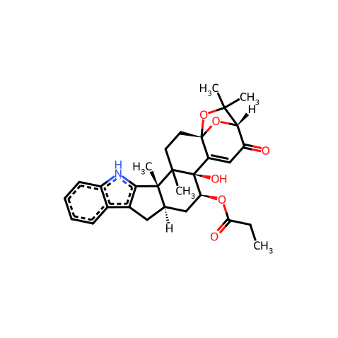 CCC(=O)O[C@H]1C[C@H]2Cc3c([nH]c4ccccc34)[C@]2(C)C2(C)CC[C@@]34O[C@@H](C(=O)C=C3[C@]12O)C(C)(C)O4